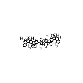 Cn1c(-c2ccc3c(c2)C(C)(C)c2cc4c(cc2-3)C(C)(C)c2ccc3ccccc3c2-4)ccc1-c1ccc2c(c1)C(C)(C)c1cc3c(cc1-2)C(C)(C)c1ccc2ccccc2c1-3